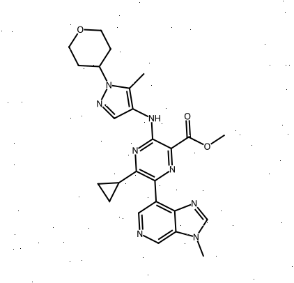 COC(=O)c1nc(-c2cncc3c2ncn3C)c(C2CC2)nc1Nc1cnn(C2CCOCC2)c1C